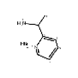 Br.CC(N)c1ccccn1